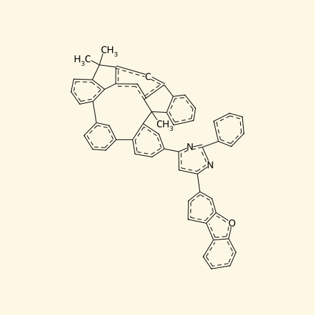 CC1(C)c2cc3c4cc2-c2c(cccc21)-c1cccc(c1)-c1ccc(-c2cc(-c5ccc6c(c5)oc5ccccc56)nc(-c5ccccc5)n2)cc1C4(C)c1ccccc1-3